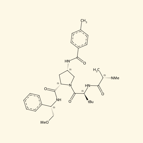 CN[C@@H](C)C(=O)N[C@H](C(=O)N1C[C@@H](NC(=O)c2ccc(C)cc2)C[C@H]1C(=O)N[C@H](COC)c1ccccc1)C(C)(C)C